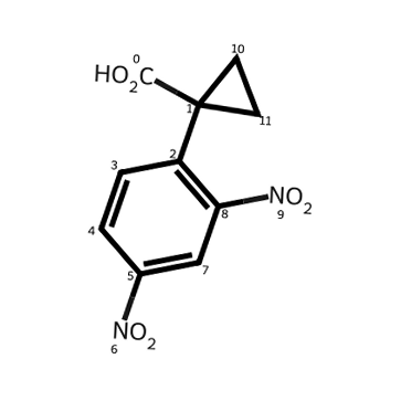 O=C(O)C1(c2ccc([N+](=O)[O-])cc2[N+](=O)[O-])CC1